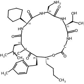 CCCC[C@H]1OC(=O)CNC(=O)[C@H](C(C)O)NC(=O)[C@H](CN)NC(=O)[C@H](C2CCCCC2)NC(=O)[C@H](CC(C)C)N(C)C(=O)[C@@H]1Cc1ccc(C)cc1